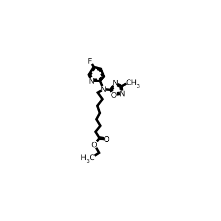 CCOC(=O)CCCCCCCN(c1ccc(F)cn1)c1nc(C)no1